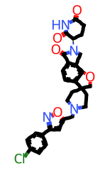 O=C1CC[C@H](N2Cc3c(ccc4c3OCC43CCN(Cc4cc(-c5ccc(Cl)cc5)no4)CC3)C2=O)C(=O)N1